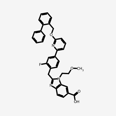 COCCn1c(Cc2ccc(-c3cccc(OCc4ccccc4-c4ccccc4)n3)cc2F)nc2ccc(C(=O)O)cc21